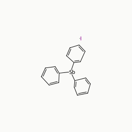 [I].c1cc[c]([Sb]([c]2ccccc2)[c]2ccccc2)cc1